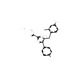 CCCCCCNC(=O)c1nc(-c2ccc(Cl)cc2)c(Cc2ccc(Cl)cc2Cl)[nH]1